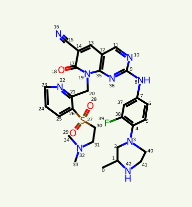 CC1CN(c2ccc(Nc3ncc4cc(C#N)c(=O)n(Cc5ncccc5S(=O)(=O)CCN(C)C)c4n3)cc2F)CCN1